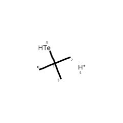 CC(C)(C)[TeH].[H+]